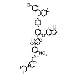 CC1(C)CCC(CN2CCN(c3ccc(C(=O)NS(=O)(=O)c4ccc(NCC5CN(C(CF)CF)CCO5)c([N+](=O)[O-])c4)c(Oc4cnc5[nH]ccc5c4)c3)CC2)=C(c2ccc(Cl)cc2)C1